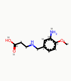 COc1ccc(CNCCC(=O)O)cc1N